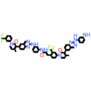 Cc1ccn(-c2cccc(C(F)(F)F)c2)c(=O)c1-c1ccc2nc(Nc3cccc(NC(=O)/C=C/c4ccc(-n5ccc(C)c(-c6ccc7nc(Nc8cccc(N)c8)ncc7c6)c5=O)cc4C(F)(F)F)c3)ncc2c1